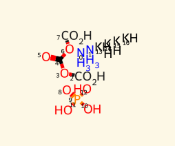 N.N.O=C(O)OC(=O)OC(=O)O.O=P(O)(O)O.[KH].[KH].[KH].[KH]